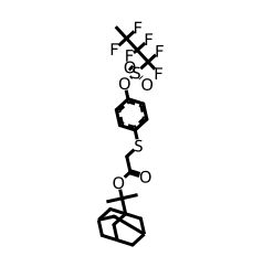 CC(F)(F)C(F)(F)C(F)(F)S(=O)(=O)Oc1ccc(SCC(=O)OC(C)(C)C23CC4CC(CC(C4)C2)C3)cc1